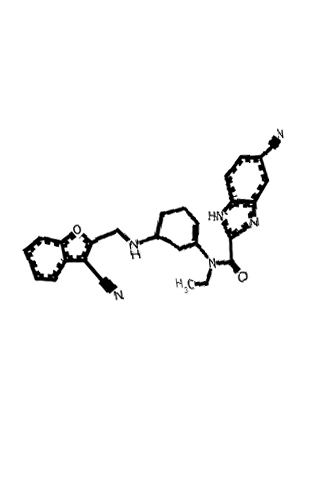 CCN(C(=O)c1nc2cc(C#N)ccc2[nH]1)C1=CCCC(NCc2oc3ccccc3c2C#N)C1